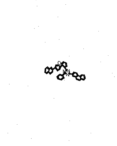 c1ccc(-c2nc(-c3ccc4c(ccc5ccccc54)c3)nc(-c3cccc4oc5cc(-c6ccc7ccccc7c6)ccc5c34)n2)cc1